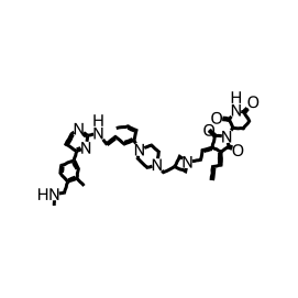 C=C/C=C1/C(=O)N(C2CCC(=O)NC2=O)C(=O)/C1=C/CN1CC(CN2CCN(C(/C=C\C)=C/C=C/Nc3nccc(-c4ccc(CNC)c(C)c4)n3)CC2)C1